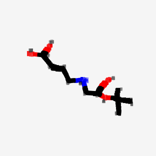 CC(C)(C)OC(=O)CNCC=CC(=O)O